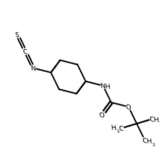 CC(C)(C)OC(=O)NC1CCC(N=C=S)CC1